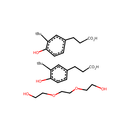 CC(C)(C)c1cc(CCC(=O)O)ccc1O.CC(C)(C)c1cc(CCC(=O)O)ccc1O.OCCOCCOCCO